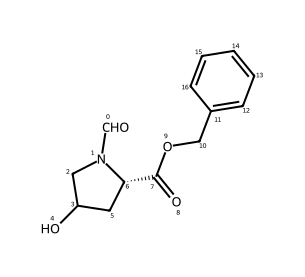 O=CN1CC(O)C[C@H]1C(=O)OCc1ccccc1